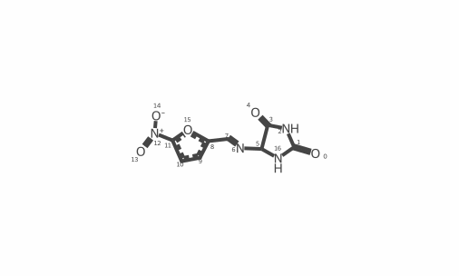 O=C1NC(=O)C(N=Cc2ccc([N+](=O)[O-])o2)N1